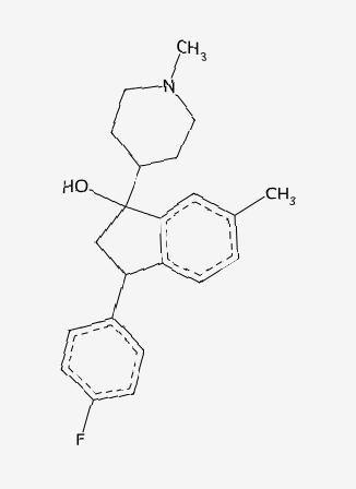 Cc1ccc2c(c1)C(O)(C1CCN(C)CC1)CC2c1ccc(F)cc1